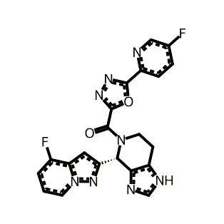 O=C(c1nnc(-c2ccc(F)cn2)o1)N1CCc2[nH]cnc2[C@@H]1c1cc2c(F)cccn2n1